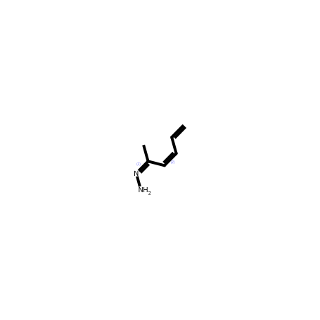 C=C/C=C\C(C)=N/N